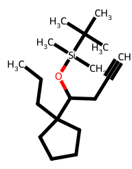 C#CCC(O[Si](C)(C)C(C)(C)C)C1(CCC)CCCC1